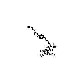 N=C(NCCCCc1ccc(OCC(=O)CCCO)cc1)NC(=O)c1nc(Cl)c(N)nc1N